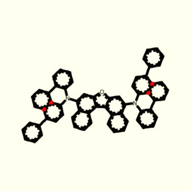 c1ccc(-c2ccc(N(c3ccccc3-c3ccccc3)c3cc4oc5cc(N(c6ccc(-c7ccccc7)cc6)c6ccccc6-c6ccccc6)c6ccccc6c5c4c4ccccc34)cc2)cc1